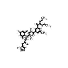 CCCN(CCC)C(=O)c1cc(C)cc(C(=O)N[C@@H](Cc2cc(F)cc(F)c2)[C@H](O)CCNC(=O)Cc2cnc[nH]2)c1